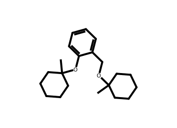 CC1(OCc2ccccc2OC2(C)CCCCC2)CCCCC1